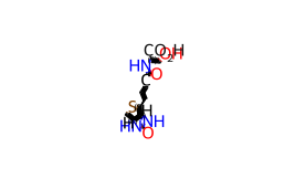 O=C(CCCC[C@@H]1SC[C@@H]2NC(=O)N[C@@H]21)N[C@@H](CO)C(=O)O